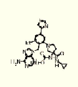 CCc1cc(-c2cscn2)cc(N2CC[C@](NC(=O)OC(C)(C)C)(C(=O)NC3CC3)C2)c1Cn1cnc2c(N)ncnc21